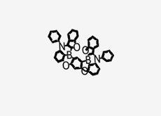 c1ccc(N2c3cccc4c3B(c3cc5c(cc3O4)Oc3cccc4c3B5c3oc5ccccc5c3N4c3ccccc3)c3oc4ccccc4c32)cc1